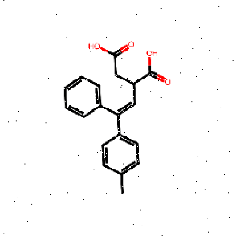 Cc1ccc(C(=CC(CC(=O)O)C(=O)O)c2ccccc2)cc1